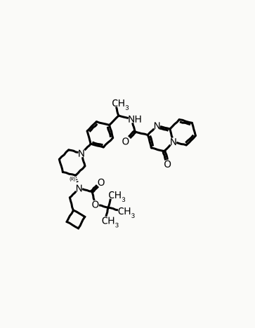 CC(NC(=O)c1cc(=O)n2ccccc2n1)c1ccc(N2CCC[C@@H](N(CC3CCC3)C(=O)OC(C)(C)C)C2)cc1